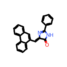 O=C1NC(c2ccccc2)=N/C1=C\c1cc2ccccc2c2ccccc12